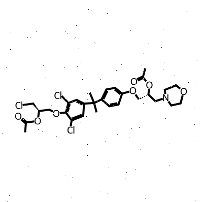 CC(=O)O[C@@H](CCl)COc1c(Cl)cc(C(C)(C)c2ccc(OC[C@@H](CN3CCOCC3)OC(C)=O)cc2)cc1Cl